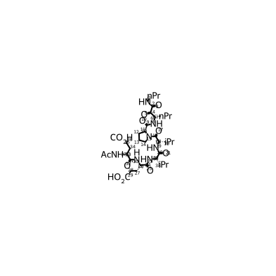 CCCNC(=O)C(=O)[C@H](CCC)NC(=O)[C@@H]1CCCN1C(=O)[C@@H](NC(=O)[C@@H](NC(=O)[C@H](CCC(=O)O)NC(=O)[C@H](CCC(=O)O)NC(C)=O)C(C)C)C(C)C